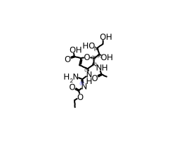 CCOC(=O)/N=C(\N)N[C@H]1C=C(C(=O)O)O[C@@H]([C@H](O)[C@H](O)CO)[C@@H]1NC(C)=O